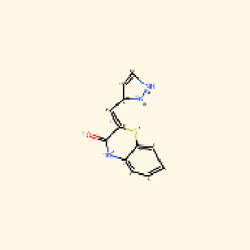 O=C1Nc2ccccc2S/C1=C\c1cc[nH]n1